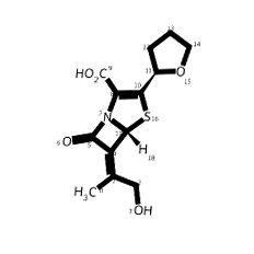 C/C(CO)=C1\C(=O)N2C(C(=O)O)=C([C@H]3CCCO3)S[C@H]12